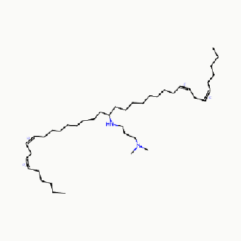 CCCCC/C=C\C/C=C\CCCCCCCCC(CCCCCCCC/C=C\C/C=C\CCCCC)NCCCN(C)C